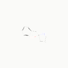 O[C@]1(Cc2ccccc2)CCCN1